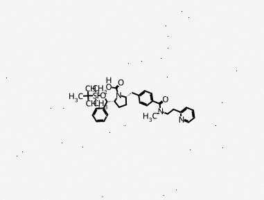 CN(CCc1ccccn1)C(=O)c1ccc(C[C@@H]2CC[C@H](C(O[Si](C)(C)C(C)(C)C)c3ccccc3)N2C(=O)O)cc1